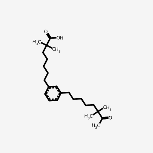 CC(=O)C(C)(C)CCCCCc1cccc(CCCCCC(C)(C)C(=O)O)c1